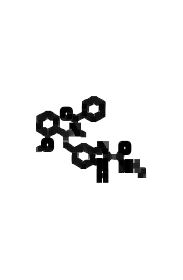 COc1ccccc1C(Cc1ccc2[nH]c(C(N)=O)nc2c1)N(C)C(=O)c1ccccc1